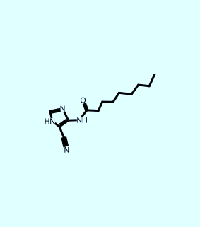 CCCCCCCCC(=O)Nc1nc[nH]c1C#N